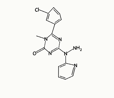 Cn1c(-c2cccc(Cl)c2)nc(N(N)c2ccccn2)nc1=O